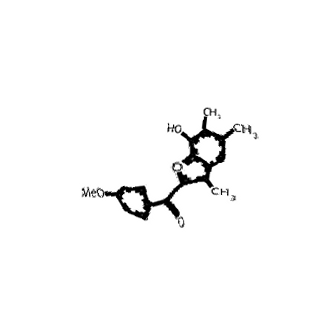 COc1ccc(C(=O)c2oc3c(O)c(C)c(C)cc3c2C)cc1